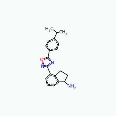 CC(C)c1ccc(-c2nc(-c3cccc4c3CCC4N)no2)cc1